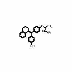 CC(C)NC(C)Oc1ccc(C(=C2CCCc3ccccc32)c2ccc(O)cc2)cc1